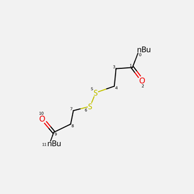 CCCCC(=O)CCSSCCC(=O)CCCC